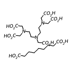 O=C(O)CCCCCCCC(=O)O.O=C(O)CN(CCN(CC(=O)O)CC(=O)O)CCN(CC(=O)O)CC(=O)O